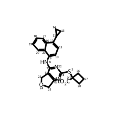 CCOC(=O)C1(Sc2nc3c(c(Nc4ccc(C5CC5)c5ccccc45)n2)COC3)CCC1